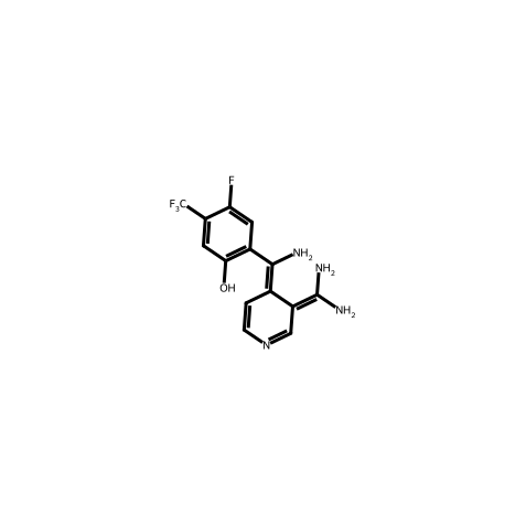 NC(N)=c1cncc/c1=C(/N)c1cc(F)c(C(F)(F)F)cc1O